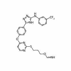 N=COCCCSc1nccc(Oc2ccc(-c3nnc(Nc4cccc(C(F)(F)F)c4)[nH]3)cc2)n1